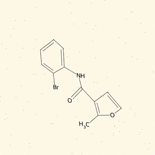 Cc1occc1C(=O)Nc1ccccc1Br